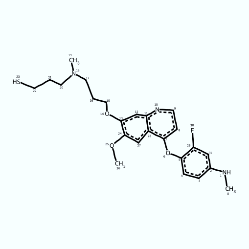 CNc1ccc(Oc2ccnc3cc(OCCCN(C)CCCS)c(OC)cc23)c(F)c1